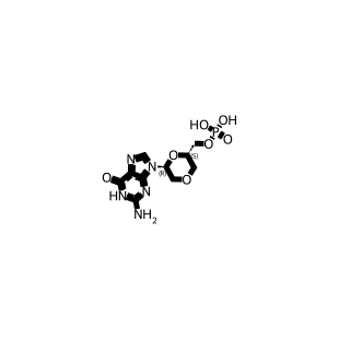 Nc1nc2c(ncn2[C@H]2COC[C@@H](COP(=O)(O)O)O2)c(=O)[nH]1